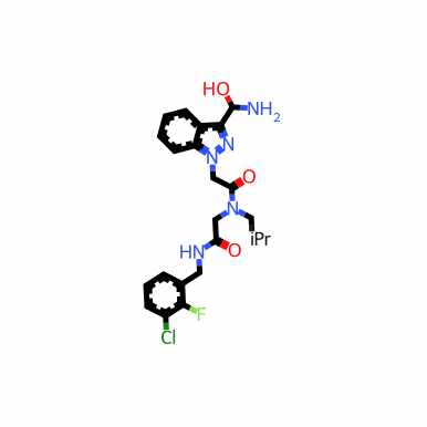 CC(C)CN(CC(=O)NCc1cccc(Cl)c1F)C(=O)Cn1nc(C(N)O)c2ccccc21